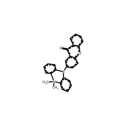 C[Si]1(C)c2ccccc2N(c2ccc3oc4ccccc4c(=O)c3c2)c2ccccc21